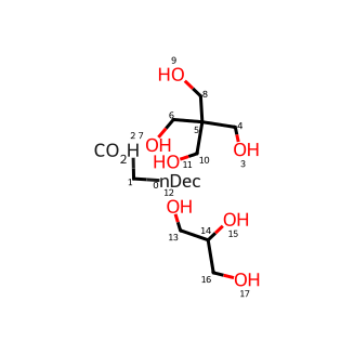 CCCCCCCCCCCC(=O)O.OCC(CO)(CO)CO.OCC(O)CO